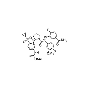 COC(=O)Nc1ccc(S(=O)(=O)C2CC2)c([C@H]2CCCN2C(=O)[C@H](Nc2cc(C(N)=O)ccc2F)c2ccc(F)c(OC)c2)c1